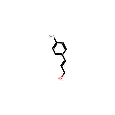 O=Cc1ccc(C=CCO)cc1